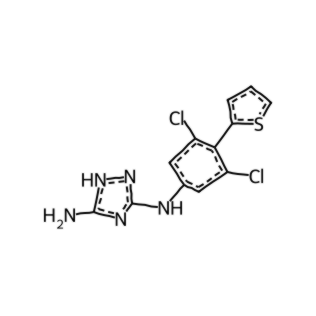 Nc1nc(Nc2cc(Cl)c(-c3cccs3)c(Cl)c2)n[nH]1